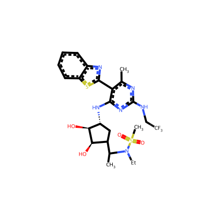 CCN(C(C)C1C[C@@H](Nc2nc(NCC(F)(F)F)nc(C)c2-c2nc3ccccc3s2)[C@H](O)[C@@H]1O)S(C)(=O)=O